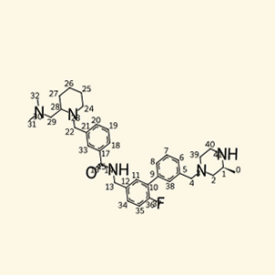 C[C@H]1CN(Cc2cccc(-c3cc(CNC(=O)c4cccc(CN5CCCCC5CN(C)C)c4)ccc3F)c2)CCN1